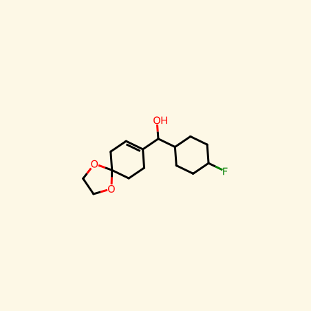 OC(C1=CCC2(CC1)OCCO2)C1CCC(F)CC1